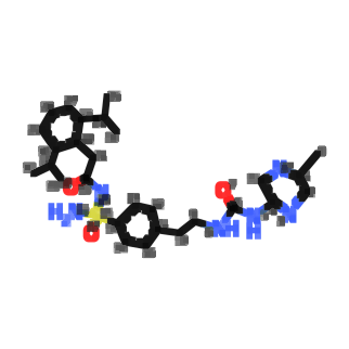 Cc1cnc(NC(=O)NCCc2ccc(S(N)(=O)=NC(=O)Cc3c(C(C)C)cccc3C(C)C)cc2)cn1